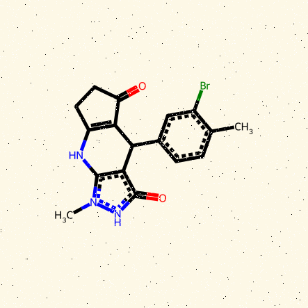 Cc1ccc(C2C3=C(CCC3=O)Nc3c2c(=O)[nH]n3C)cc1Br